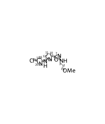 COCCCNc1ncc(-c2cccc(Nc3ccc(Cl)cn3)n2)o1